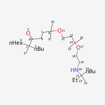 CCCCCCC(C)(CCCC)C(=O)CCC(C)(C)OCCC(C)(C)OCCNC(C)(CC)CCCC